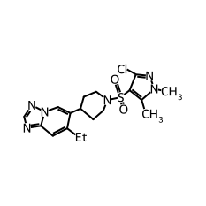 CCc1cc2ncnn2cc1C1CCN(S(=O)(=O)c2c(Cl)nn(C)c2C)CC1